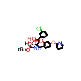 CC(Cc1ccc(Oc2ccccn2)cc1O)(C[C@@H](O)c1cccc(Cl)c1)NC(=O)OC(C)(C)C